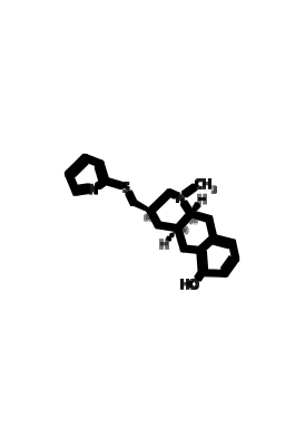 CN1C[C@H](CSc2ccccn2)C[C@@H]2Cc3c(O)cccc3C[C@H]21